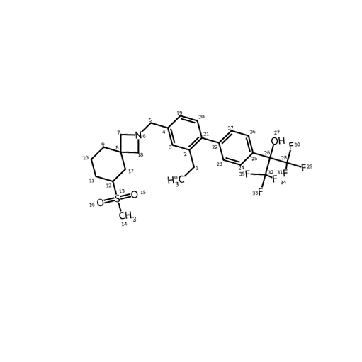 CCc1cc(CN2CC3(CCCC(S(C)(=O)=O)C3)C2)ccc1-c1ccc(C(O)(C(F)(F)F)C(F)(F)F)cc1